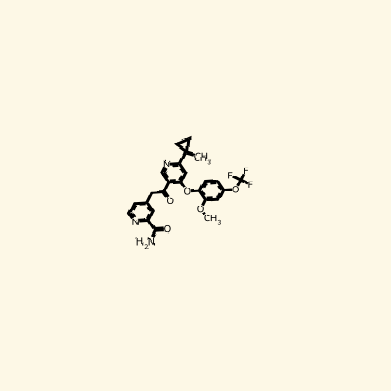 COc1cc(OC(F)(F)F)ccc1Oc1cc(C2(C)CC2)ncc1C(=O)Cc1ccnc(C(N)=O)c1